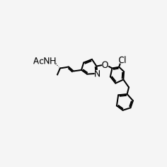 CC(=O)N[C@@H](C)/C=C/c1ccc(Oc2ccc(Cc3ccccc3)cc2Cl)nc1